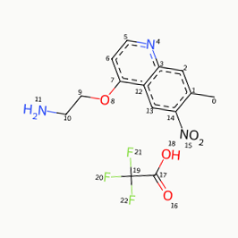 Cc1cc2nccc(OCCN)c2cc1[N+](=O)[O-].O=C(O)C(F)(F)F